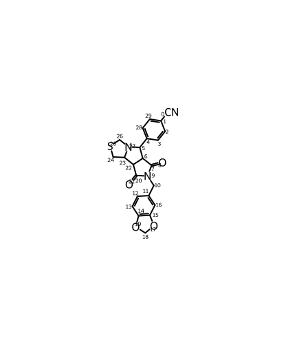 N#Cc1ccc(C2C3C(=O)N(Cc4ccc5c(c4)OCO5)C(=O)C3C3CSCN32)cc1